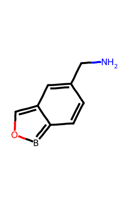 NCc1ccc2bocc2c1